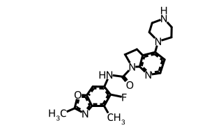 Cc1nc2c(C)c(F)c(NC(=O)N3CCc4c(N5CCNCC5)ccnc43)cc2o1